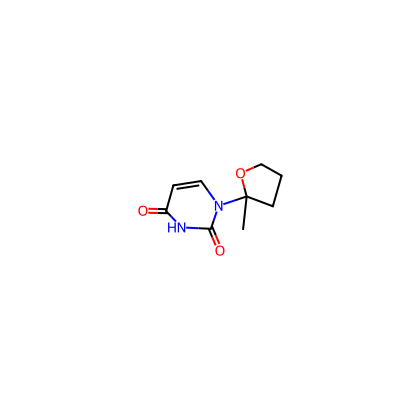 CC1(n2ccc(=O)[nH]c2=O)CCCO1